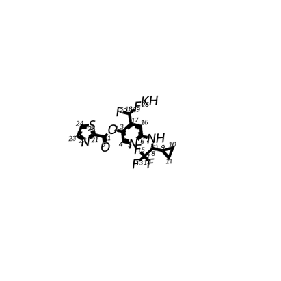 O=C(Oc1cnc(N[C@@H](C2CC2)C(F)(F)F)cc1C(F)F)c1nccs1.[KH]